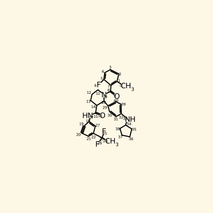 Cc1cccc(F)c1C(=O)N1CCCC(C(=O)Nc2c#ccc(C(C)(F)F)c2)C1c1ccc(NC2CCCC2)cc1